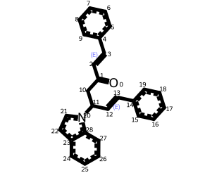 O=C(/C=C/c1ccccc1)CC(/C=C/c1ccccc1)n1ccc2ccccc21